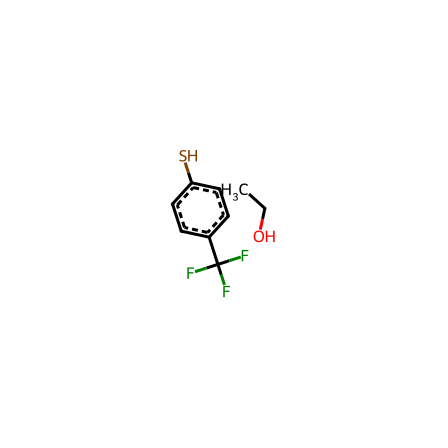 CCO.FC(F)(F)c1ccc(S)cc1